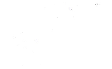 COCCN1CCc2c(CCC(=O)N(Cc3ccccc3C(F)(F)F)CC3(C)COC3)cccc2C1